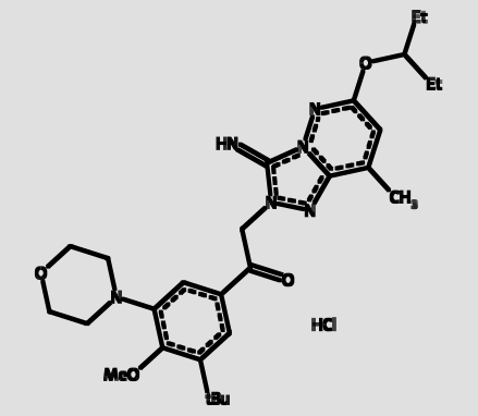 CCC(CC)Oc1cc(C)c2nn(CC(=O)c3cc(N4CCOCC4)c(OC)c(C(C)(C)C)c3)c(=N)n2n1.Cl